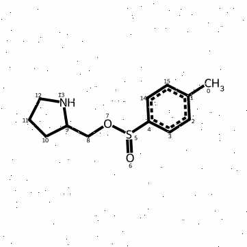 Cc1ccc(S(=O)OCC2CCCN2)cc1